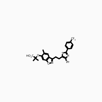 Cc1cc2c(CCc3sc(-c4ccc(C(F)(F)F)cc4)nc3C(C)C)noc2cc1OC(C)(C)C(=O)O